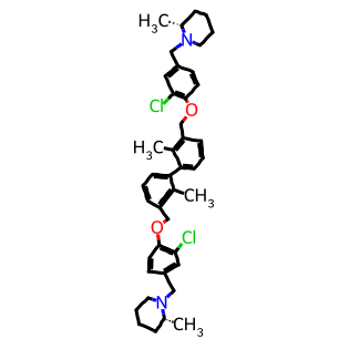 Cc1c(COc2ccc(CN3CCCC[C@H]3C)cc2Cl)cccc1-c1cccc(COc2ccc(CN3CCCC[C@H]3C)cc2Cl)c1C